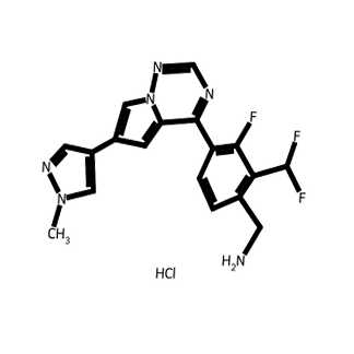 Cl.Cn1cc(-c2cc3c(-c4ccc(CN)c(C(F)F)c4F)ncnn3c2)cn1